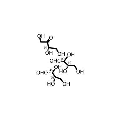 O=C(CO)[C@H](O)CO.O=C[C@@H](O)[C@H](O)CO.O=C[C@H](O)[C@H](O)CO